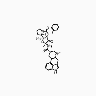 CN1C[C@H](C(=O)N[C@]2(C)O[C@@]3(O)[C@@H]4CCCN4C(=O)[C@H](Cc4ccccc4)N3C2=O)CC2c3cccc4[nH]cc(c34)CC21